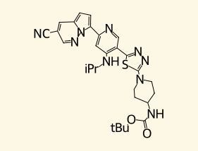 CC(C)Nc1cc(-c2ccc3cc(C#N)cnn23)ncc1-c1nnc(N2CCC(NC(=O)OC(C)(C)C)CC2)s1